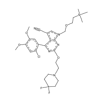 COc1cc(Cl)c(-c2nc(OCCN3CCC(F)(F)CC3)nc3c2c(C#N)cn3COCC[Si](C)(C)C)cc1OC